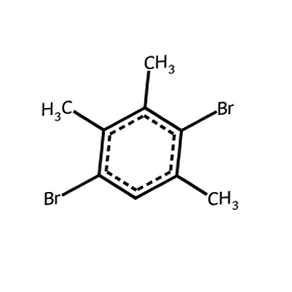 Cc1cc(Br)c(C)c(C)c1Br